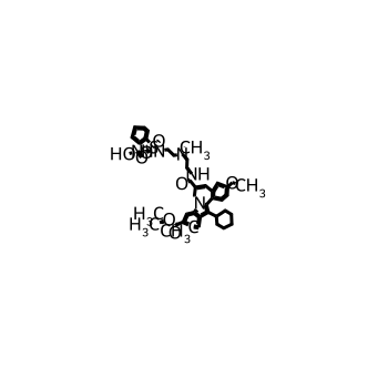 COc1ccc2c(c1)C=C(C(=O)NCCN(C)CCNS(=O)(=O)c1ccccc1[N+](=O)O)Cn1c-2c(C2CCCCC2)c2ccc(C(=O)OC(C)(C)C)cc21